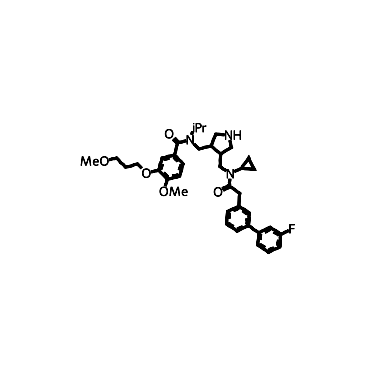 COCCCOc1cc(C(=O)N(CC2CNCC2CN(C(=O)Cc2cccc(-c3cccc(F)c3)c2)C2CC2)C(C)C)ccc1OC